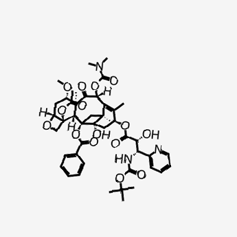 CO[C@H]1C[C@H]2OC[C@@]2(OC(C)=O)[C@@H]2[C@]1(C)C(=O)[C@H](OC(=O)N(C)C)C1=C(C)[C@@H](OC(=O)[C@H](O)[C@@H](NC(=O)OC(C)(C)C)c3ccccn3)C[C@]3(O)[C@@]1(C)C[C@@]23OC(=O)c1ccccc1